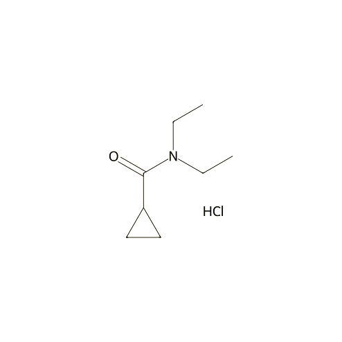 CCN(CC)C(=O)C1CC1.Cl